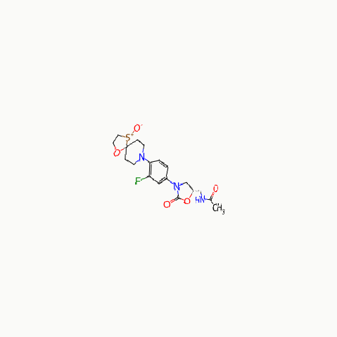 CC(=O)NC[C@H]1CN(c2ccc(N3CCC4(CC3)OCC[S+]4[O-])c(F)c2)C(=O)O1